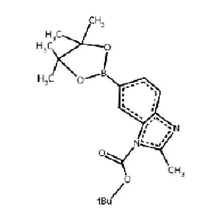 Cc1nc2ccc(B3OC(C)(C)C(C)(C)O3)cc2n1C(=O)OC(C)(C)C